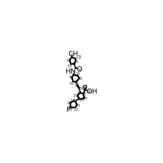 Cc1ccc(C(=O)Nc2ccc(C#Cc3cc(-c4ccc(F)cc4)ccc3C(=O)O)cc2)cc1